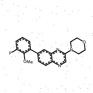 COc1c(F)cccc1-c1ccc2ncc(N3CCOCC3)nc2c1